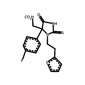 O=C(O)CC1(c2ccc(F)cc2)C(=O)NC(=S)N1CCc1cccs1